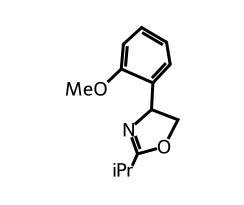 COc1ccccc1C1COC(C(C)C)=N1